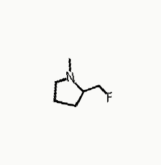 CN1CCCC1CF